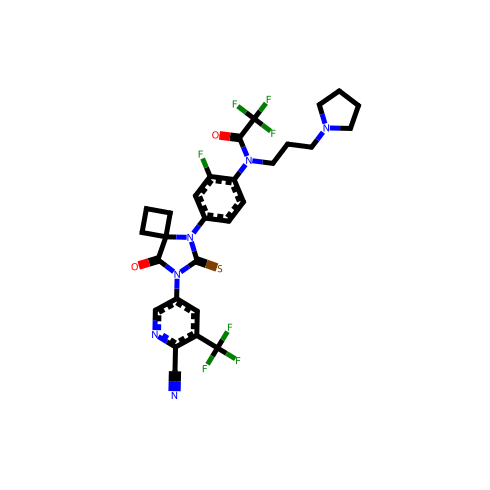 N#Cc1ncc(N2C(=O)C3(CCC3)N(c3ccc(N(CCCN4CCCC4)C(=O)C(F)(F)F)c(F)c3)C2=S)cc1C(F)(F)F